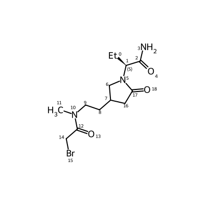 CC[C@@H](C(N)=O)N1CC(CCN(C)C(=O)CBr)CC1=O